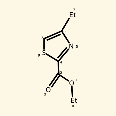 CCOC(=O)c1nc(CC)cs1